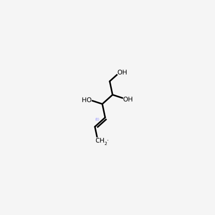 [CH2]/C=C/C(O)C(O)CO